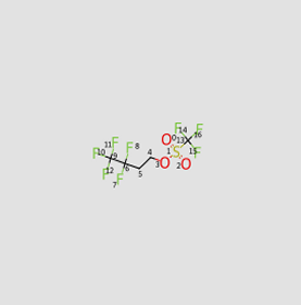 O=S(=O)(OCCC(F)(F)C(F)(F)F)C(F)(F)F